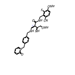 COCC(=N)/C(=C\NCc1ccc(Cn2ccccc2=O)cc1)C(=O)NCc1c(C#N)ccc(OC)c1F